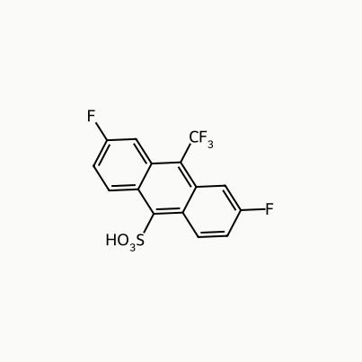 O=S(=O)(O)c1c2ccc(F)cc2c(C(F)(F)F)c2cc(F)ccc12